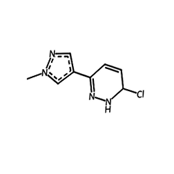 Cn1cc(C2=NNC(Cl)C=C2)cn1